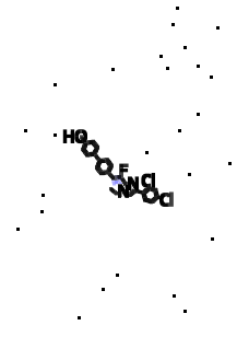 CCn1cc(-c2ccc(Cl)cc2Cl)nc1/C(F)=C/c1ccc(-c2ccc(O)cc2)cc1